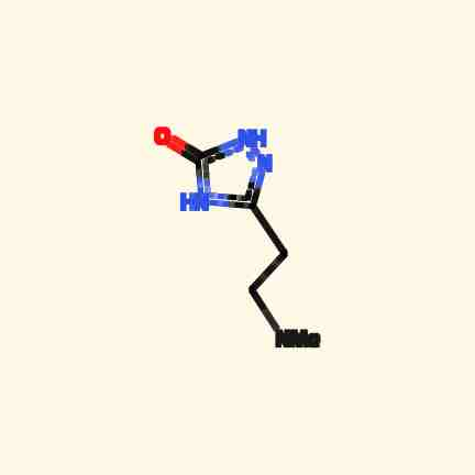 CNCCc1n[nH]c(=O)[nH]1